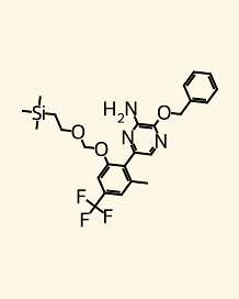 Cc1cc(C(F)(F)F)cc(OCOCC[Si](C)(C)C)c1-c1cnc(OCc2ccccc2)c(N)n1